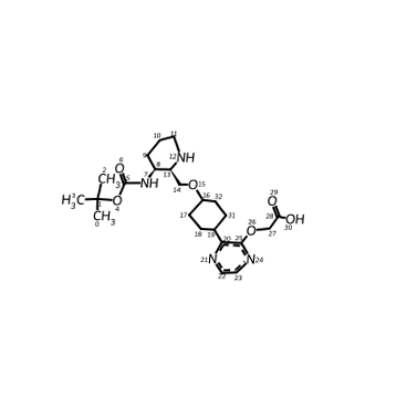 CC(C)(C)OC(=O)N[C@H]1CCCN[C@H]1COC1CCC(c2nccnc2OCC(=O)O)CC1